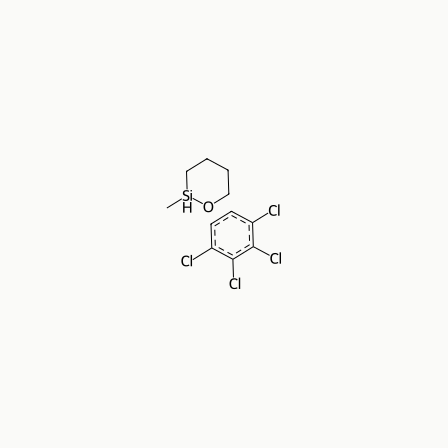 C[SiH]1CCCCO1.Clc1ccc(Cl)c(Cl)c1Cl